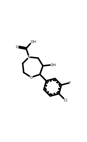 O=C(O)N1CCOC(c2ccc(Cl)c(F)c2)C(O)C1